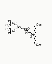 CCCCCCCCCCCCCCN(CCCCCCCCCCCCCC)C(=O)CNC(=O)CNCCN(CCNC(=N)N)CCNC(=N)N